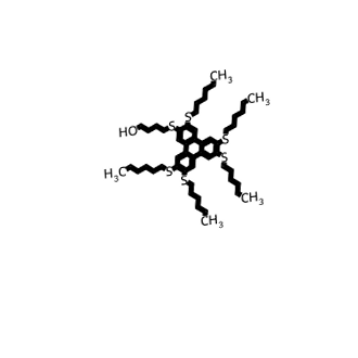 CCCCCCSc1cc2c(cc1SCCCCO)c1cc(SCCCCCC)c(SCCCCCC)cc1c1cc(SCCCCCC)c(SCCCCCC)cc21